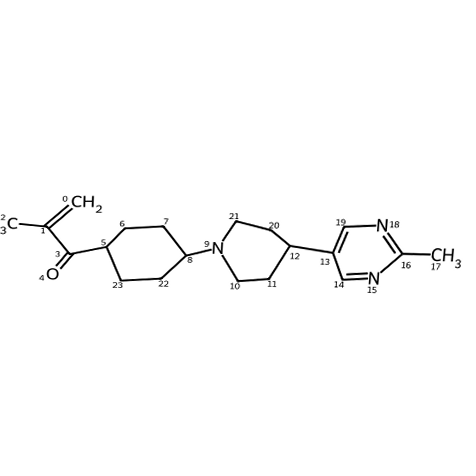 C=C(C)C(=O)C1CCC(N2CCC(c3cnc(C)nc3)CC2)CC1